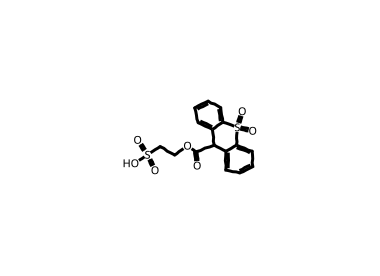 O=C(OCCS(=O)(=O)O)C1c2ccccc2S(=O)(=O)c2ccccc21